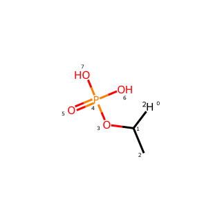 [2H]C(C)OP(=O)(O)O